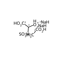 CC(=O)O.O=C(O)C(O)S(=O)(=O)O.[NaH].[NaH]